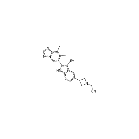 Cc1c(-c2[nH]c3ccc(C4CN(CC#N)C4)cc3c2C(C)C)cn2ncnc2c1C